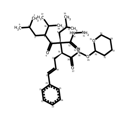 CC(C)CC(C(=O)[C@](CC(C)C)(C(=O)NN)[C@H](C/C=C/c1ccccc1)C(=O)NOC1CCCCO1)C(C)C